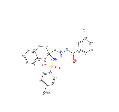 COc1ccc(S(=O)(=O)NC2(CNCC(O)c3cccc(Cl)c3)CCc3ccccc3O2)cc1